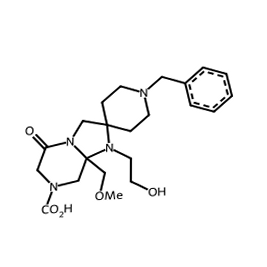 COCC12CN(C(=O)O)CC(=O)N1CC1(CCN(Cc3ccccc3)CC1)N2CCO